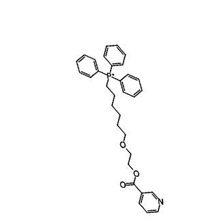 O=C(OCCOCCCCCC[P+](c1ccccc1)(c1ccccc1)c1ccccc1)c1cccnc1